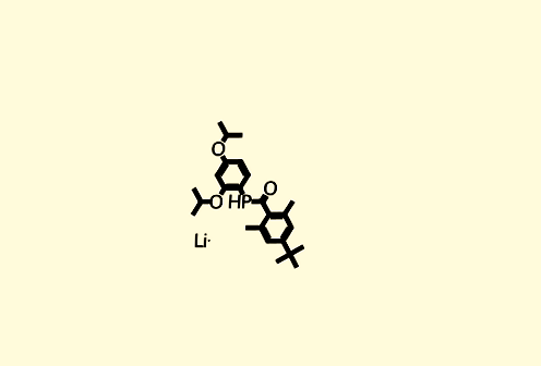 Cc1cc(C(C)(C)C)cc(C)c1C(=O)Pc1ccc(OC(C)C)cc1OC(C)C.[Li]